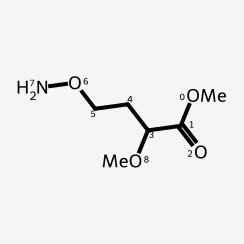 COC(=O)C(CCON)OC